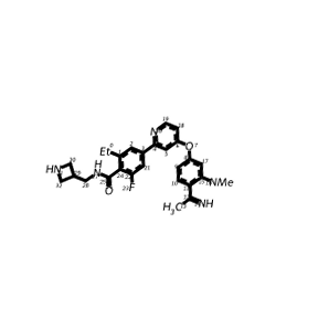 CCc1cc(-c2cc(Oc3ccc(C(C)=N)c(NC)c3)ccn2)cc(F)c1C(=O)NCC1CNC1